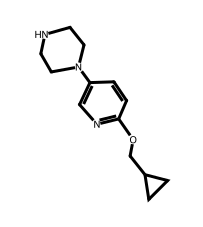 c1cc(OCC2CC2)ncc1N1CCNCC1